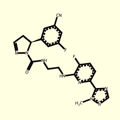 Cn1ncnc1-c1ccc(F)c(NCCNC(=O)N2N=CC[C@H]2c2cc(F)cc(C#N)c2)n1